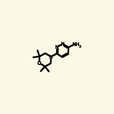 CC1(C)CN(c2ccc(N)nn2)CC(C)(C)O1